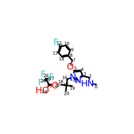 CNCc1cc(OCc2ccc(F)cc2)n(CC(C)(C)C)n1.O=C(O)C(F)(F)F